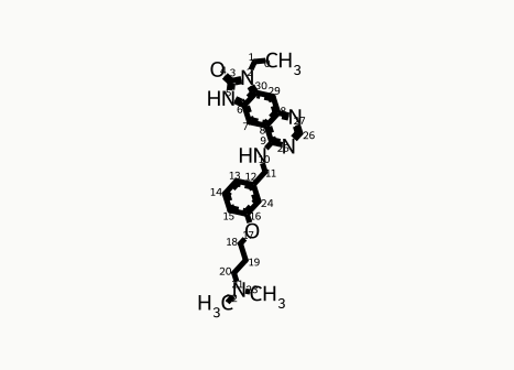 CCn1c(=O)[nH]c2cc3c(NCc4cccc(OCCCN(C)C)c4)ncnc3cc21